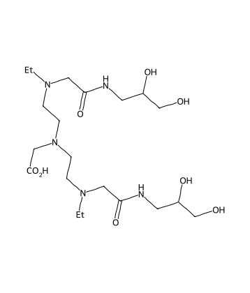 CCN(CCN(CCN(CC)CC(=O)NCC(O)CO)CC(=O)O)CC(=O)NCC(O)CO